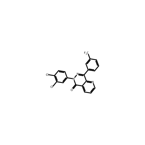 O=c1c2cccnc2c(-c2cccc(C(F)(F)F)c2)nn1-c1ccc(Cl)c(Cl)c1